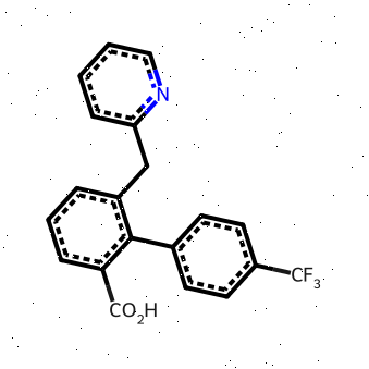 O=C(O)c1cccc(Cc2ccccn2)c1-c1ccc(C(F)(F)F)cc1